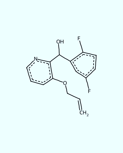 C=CCOc1cccnc1C(O)c1cc(F)ccc1F